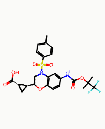 Cc1ccc(S(=O)(=O)N2CC([C@H]3C[C@@H]3C(=O)O)Oc3ccc(NC(=O)OC(C)(C)C(F)(F)F)cc32)cc1